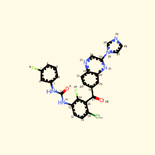 O=C(Nc1cccc(F)c1)Nc1ccc(Cl)c(C(=O)c2ccc3ncc(-n4ccnc4)nc3c2)c1F